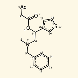 CC(=O)CC(=O)OC(CN(C)Cc1ccccc1)c1ccsc1